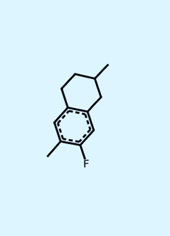 Cc1cc2c(cc1F)CC(C)CC2